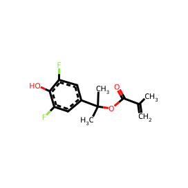 C=C(C)C(=O)OC(C)(C)c1cc(F)c(O)c(F)c1